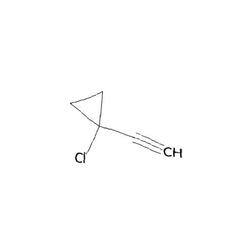 C#CC1(Cl)CC1